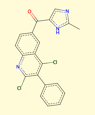 Cc1ncc(C(=O)c2ccc3nc(Cl)c(-c4ccccc4)c(Cl)c3c2)[nH]1